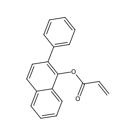 C=CC(=O)Oc1c(-c2ccccc2)ccc2ccccc12